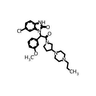 CCCN1CCN(C2CCN(C(=O)C(c3cccc(OC)c3)n3c(=O)[nH]c4ccc(Cl)cc43)C2)CC1